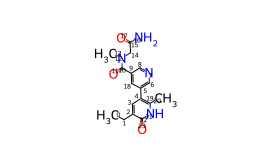 CCc1cc(-c2cncc(C(=O)N(C)CC(N)=O)c2)c(C)[nH]c1=O